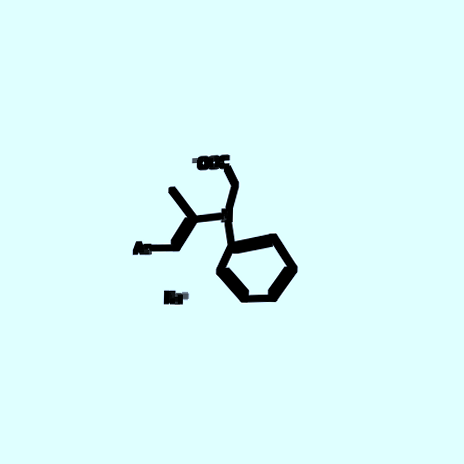 CC(=O)C=C(C)N(CC(=O)[O-])c1ccccc1.[Na+]